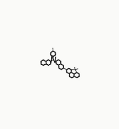 Cc1ccc(N(c2ccc3ccccc3c2)c2ccc3cc(-c4cc5c6c(ccc7cccc(c76)C5(C)C)c4)ccc3c2)cc1